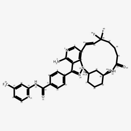 Nc1ncc2c3c1c(-c1ccc(C(=O)Nc4cc(C(F)(F)F)ccn4)cc1)nn3[C@@H]1CCC[C@H](C1)NC(=O)CCCC(F)(F)/C=C/2